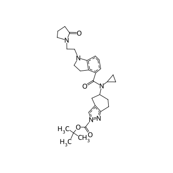 CC(C)(C)OC(=O)n1cc2c(n1)CCC(N(C(=O)c1cccc3c1CCN3CCN1CCCC1=O)C1CC1)C2